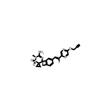 C#CCOc1cnc(/C(F)=C/c2ccc3c(c2)[C@@]2(C3)N=C(N)N(C)S(=O)(=O)C23CC3)cn1